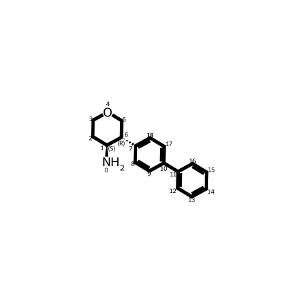 N[C@H]1CCOC[C@@H]1c1ccc(-c2ccccc2)cc1